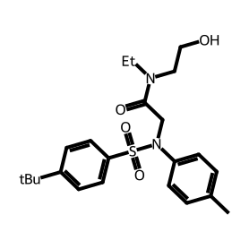 CCN(CCO)C(=O)CN(c1ccc(C)cc1)S(=O)(=O)c1ccc(C(C)(C)C)cc1